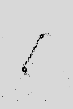 O=[N+]([O-])c1ccc(OCCSSCCOCOCCSSCCOc2ccc([N+](=O)[O-])cc2)cc1